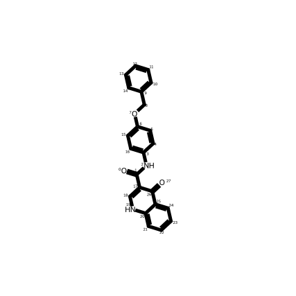 O=C(Nc1ccc(OCc2ccccc2)cc1)c1c[nH]c2ccccc2c1=O